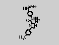 CSNc1ccc(NC(=O)c2nc(-c3ccc(C)cc3)cnc2N)cc1